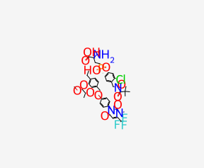 CC1(C)CON(Cc2ccccc2Cl)C1=O.CCc1ccc(COc2ccc(-n3c(=O)cc(C(F)(F)F)n(C)c3=O)cc2)c(OC(C)C(=O)OC)c1.CP(=O)(O)CCC(N)C(=O)O